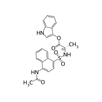 CC(=O)Nc1ccc(S(=O)(=O)N[C@@H](C)C(=O)Oc2c[nH]c3ccccc23)c2ccccc12